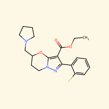 CCOC(=O)c1c(-c2ccccc2F)nn2c1OC(CN1CCCC1)CC2